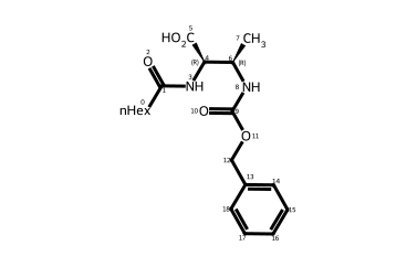 CCCCCCC(=O)N[C@@H](C(=O)O)[C@@H](C)NC(=O)OCc1ccccc1